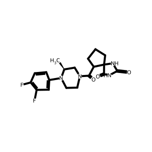 C[C@H]1CN(C(=O)C2CCCC23NC(=O)NC3=O)CCN1c1ccc(F)c(F)c1